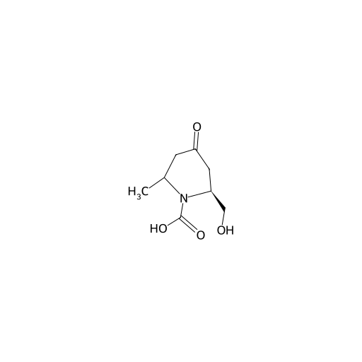 CC1CC(=O)C[C@@H](CO)N1C(=O)O